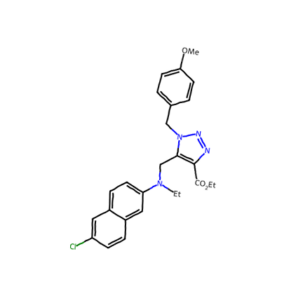 CCOC(=O)c1nnn(Cc2ccc(OC)cc2)c1CN(CC)c1ccc2cc(Cl)ccc2c1